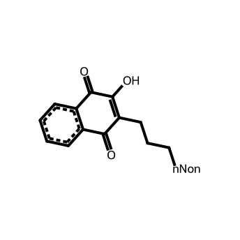 CCCCCCCCCCCCC1=C(O)C(=O)c2ccccc2C1=O